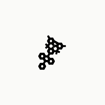 Cc1cc2c3c(c1)c1cc(C)cc4c1n3-c1c(cc(-c3c5ccccc5c(-c5ccccc5)c5ccccc35)cc1C4(C)C)C2(C)C